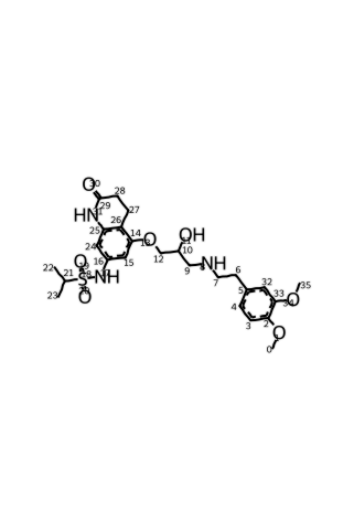 COc1ccc(CCNCC(O)COc2cc(NS(=O)(=O)C(C)C)cc3c2CCC(=O)N3)cc1OC